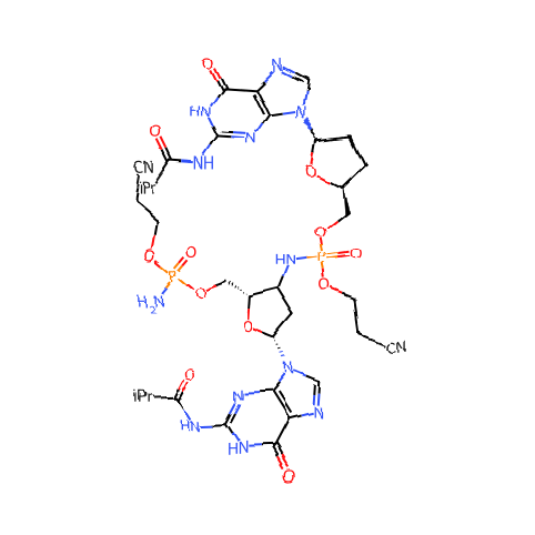 CC(C)C(=O)Nc1nc2c(ncn2[C@H]2CC[C@@H](COP(=O)(NC3C[C@H](n4cnc5c(=O)[nH]c(NC(=O)C(C)C)nc54)O[C@@H]3COP(N)(=O)OCCC#N)OCCC#N)O2)c(=O)[nH]1